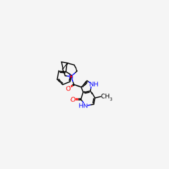 Cc1c[nH]c(=O)c2c(C(=O)N3CCC4(c5ccccc5)CC4C3)c[nH]c12